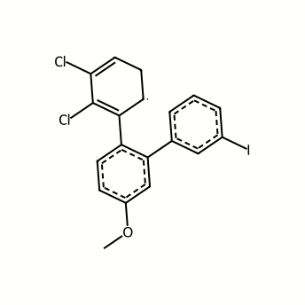 COc1ccc(C2=C(Cl)C(Cl)=CC[CH]2)c(-c2cccc(I)c2)c1